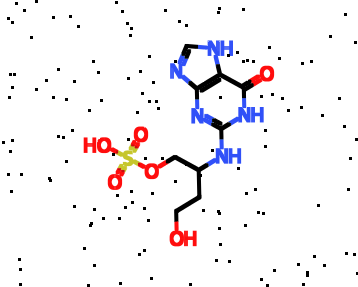 O=c1[nH]c(NC(CCO)COS(=O)(=O)O)nc2nc[nH]c12